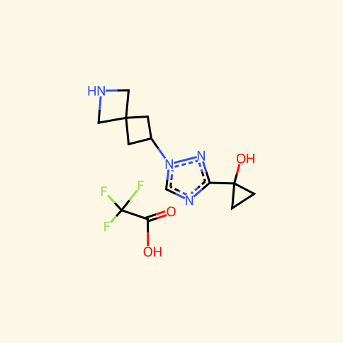 O=C(O)C(F)(F)F.OC1(c2ncn(C3CC4(CNC4)C3)n2)CC1